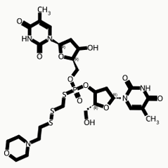 Cc1cn([C@H]2CC(O)[C@@H](COP(=O)(OC3C[C@H](n4cc(C)c(=O)[nH]c4=O)O[C@@H]3CO)SCSSCCN3CCOCC3)O2)c(=O)[nH]c1=O